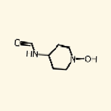 O=CNC1CCN(O)CC1